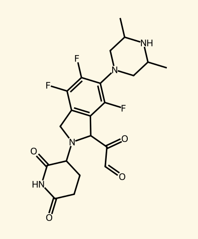 CC1CN(c2c(F)c(F)c3c(c2F)C(C(=O)C=O)N(C2CCC(=O)NC2=O)C3)CC(C)N1